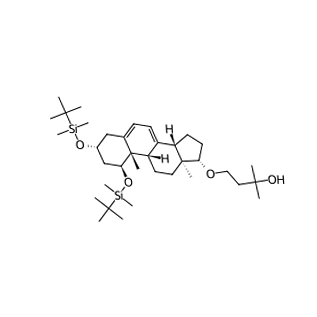 CC(C)(O)CCO[C@H]1CC[C@H]2C3=CC=C4C[C@@H](O[Si](C)(C)C(C)(C)C)C[C@H](O[Si](C)(C)C(C)(C)C)[C@@]4(C)[C@H]3CC[C@]12C